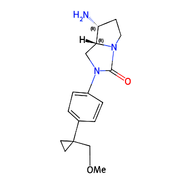 COCC1(c2ccc(N3C[C@@H]4[C@H](N)CCN4C3=O)cc2)CC1